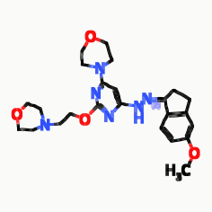 COc1ccc2c(c1)CC/C2=N/Nc1cc(N2CCOCC2)nc(OCCN2CCOCC2)n1